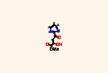 COC(=O)C(O)=CC(=O)c1ncccn1